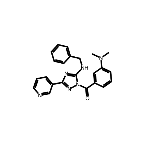 CN(C)c1cccc(C(=O)n2nc(-c3cccnc3)nc2NCc2ccccc2)c1